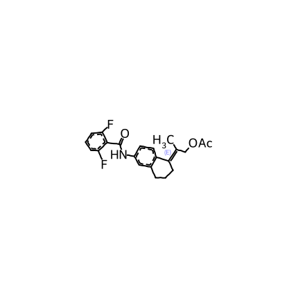 CC(=O)OC/C(C)=C1\CCCc2cc(NC(=O)c3c(F)cccc3F)ccc21